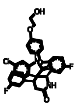 O=C1C[C@@H](C2C=C(F)C=CC2)[C@]2(C(=O)Nc3cc(Cl)ccc32)[C@@H](c2cc(F)ccc2Oc2ccc(OCCO)cc2)N1